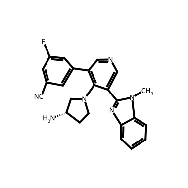 Cn1c(-c2cncc(-c3cc(F)cc(C#N)c3)c2N2CC[C@H](N)C2)nc2ccccc21